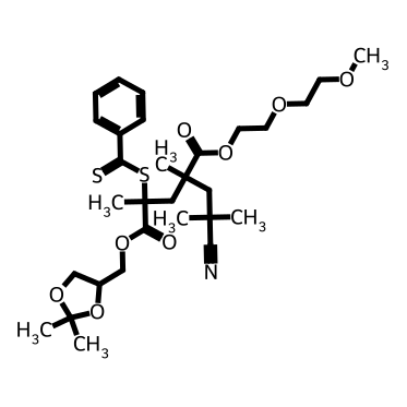 COCCOCCOC(=O)C(C)(CC(C)(C)C#N)CC(C)(SC(=S)c1ccccc1)C(=O)OCC1COC(C)(C)O1